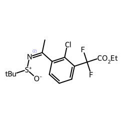 CCOC(=O)C(F)(F)c1cccc(/C(C)=N\[S+]([O-])C(C)(C)C)c1Cl